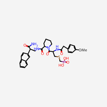 COc1ccc(CC(=O)NC(CSCP(=O)(O)O)C(=O)N2CCCCC2C(=O)NCC(C(N)=O)c2ccc3ccccc3c2)cc1